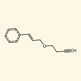 C#CCCOC/C=C/c1ccccc1